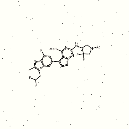 COc1nc(NC2CN(C(C)=O)CC2(F)F)nn2ccc(-c3cc(F)c4nc(C)n(CC(F)F)c4c3)c12